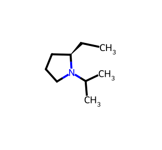 CC[C@@H]1CCCN1C(C)C